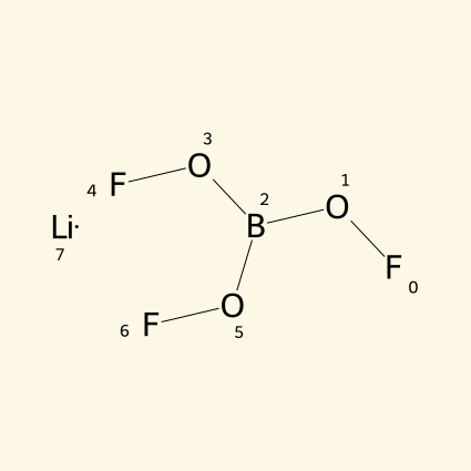 FOB(OF)OF.[Li]